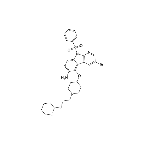 Nc1ncc2c(c1OC1CCN(CCOC3CCCCO3)CC1)c1cc(Br)cnc1n2S(=O)(=O)c1ccccc1